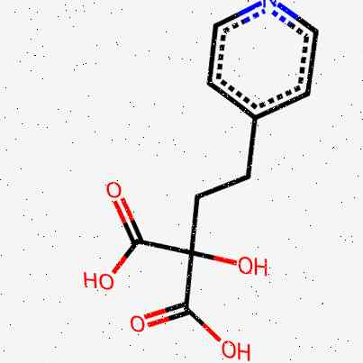 O=C(O)C(O)(CCc1ccncc1)C(=O)O